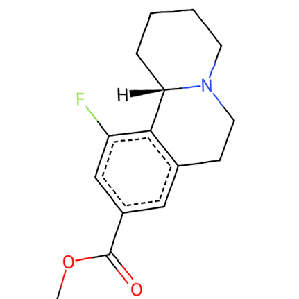 COC(=O)c1cc(F)c2c(c1)CCN1CCCC[C@@H]21